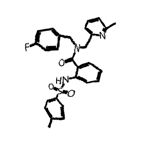 Cc1ccc(S(=O)(=O)Nc2ccccc2C(=O)N(Cc2ccc(F)cc2)Cc2cccc(C)n2)cc1